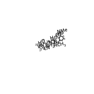 CNS(=O)(=O)c1cccc([C@H](C)N2C(=O)[C@@H]3C[C@H]2CN3C[C@H](N)C(=O)N2[C@H](C#N)CC3C[C@@H]32)c1